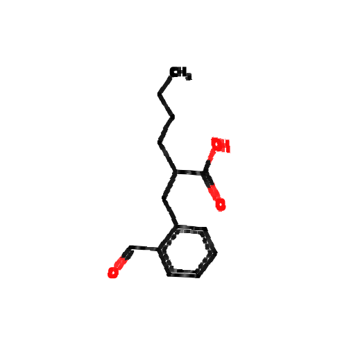 CCCCC(Cc1ccccc1C=O)C(=O)O